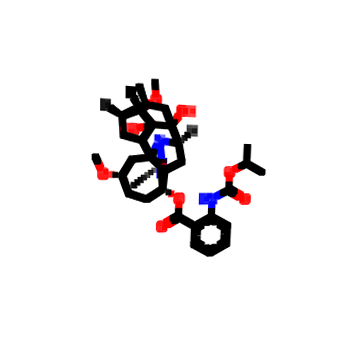 CO[C@H]1CC[C@]2(OC(=O)c3ccccc3NC(=O)OC(C)C)C3C[C@H]4N(N[C@H]2C)C3(C1)C1C[C@@H]2[C@@H](C)C[C@@]4(O)[C@@]1(O)[C@H]2OC